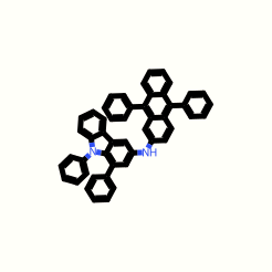 c1ccc(-c2c3ccccc3c(-c3ccccc3)c3cc(Nc4cc(-c5ccccc5)c5c(c4)c4ccccc4n5-c4ccccc4)ccc23)cc1